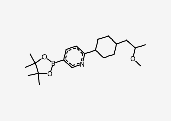 COC(C)CC1CCC(c2ccc(B3OC(C)(C)C(C)(C)O3)cn2)CC1